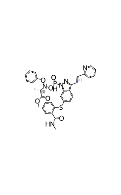 CNC(=O)c1ccccc1Sc1ccc2c(/C=C/c3ccccn3)nn([PH](=O)ON(Oc3ccccc3)[C@@H](C)C(=O)OC)c2c1